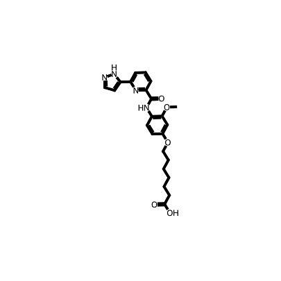 COc1cc(OCCCCCCC(=O)O)ccc1NC(=O)c1cccc(-c2ccn[nH]2)n1